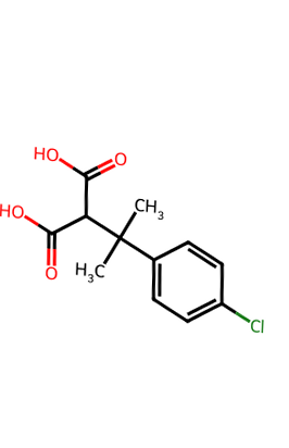 CC(C)(c1ccc(Cl)cc1)C(C(=O)O)C(=O)O